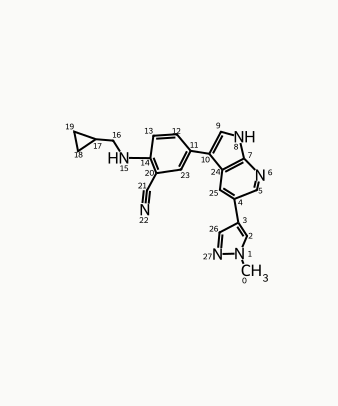 Cn1cc(-c2cnc3[nH]cc(-c4ccc(NCC5CC5)c(C#N)c4)c3c2)cn1